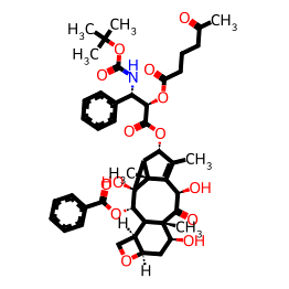 CC(=O)CCCC(=O)O[C@@H](C(=O)O[C@@H]1C(C)=C2[C@@H](O)C(=O)[C@@]3(C)C([C@@H]4CO[C@@H]4C[C@@H]3O)[C@H](OC(=O)c3ccccc3)[C@]3(O)C1[C@]23C)[C@@H](NC(=O)OC(C)(C)C)c1ccccc1